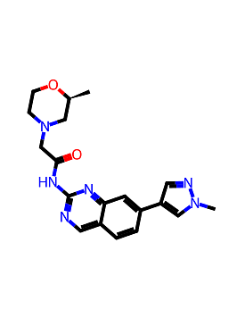 C[C@H]1CN(CC(=O)Nc2ncc3ccc(-c4cnn(C)c4)cc3n2)CCO1